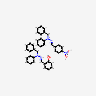 O=[N+]([O-])c1ccc(/C=N/N(Cc2ccccc2)c2ccccc2)cc1.Oc1ccccc1/C=N/N(Cc1ccccc1)c1ccccc1